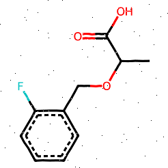 CC(OCc1ccccc1F)C(=O)O